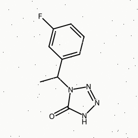 CC(c1cccc(F)c1)n1nn[nH]c1=O